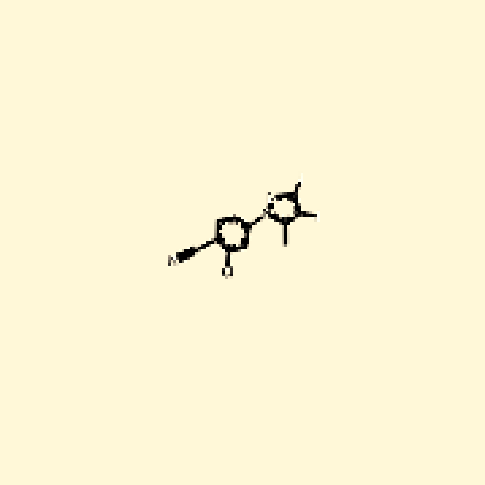 Cc1c(I)c(I)nn1-c1ccc(C#N)c(Cl)c1